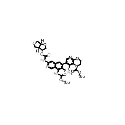 Cc1c(-c2cc3cc(NC(=O)O[C@@H]4CO[C@H]5COC[C@H]54)ncc3c(NC(=O)OC(C)(C)C)c2F)cnc2c1N(C(=O)OC(C)(C)C)CCO2